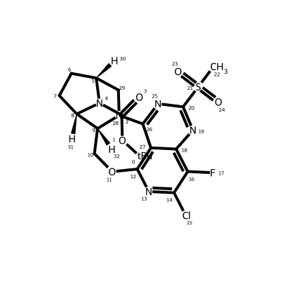 CC(C)(C)OC(=O)N1[C@@H]2CC[C@H]1[C@H]1COc3nc(Cl)c(F)c4nc(S(C)(=O)=O)nc(c34)N1C2